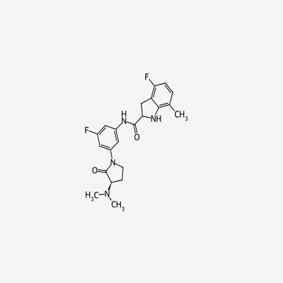 Cc1ccc(F)c2c1NC(C(=O)Nc1cc(F)cc(N3CC[C@@H](N(C)C)C3=O)c1)C2